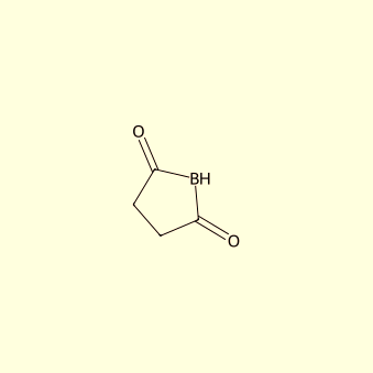 O=C1BC(=O)CC1